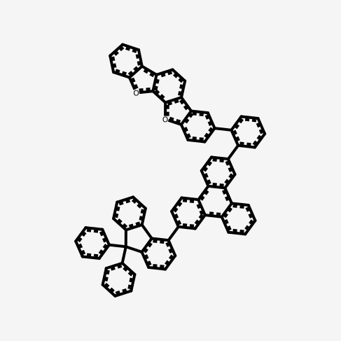 c1ccc(C2(c3ccccc3)c3ccccc3-c3c(-c4ccc5c6ccc(-c7ccccc7-c7ccc8oc9c(ccc%10c%11ccccc%11oc%109)c8c7)cc6c6ccccc6c5c4)cccc32)cc1